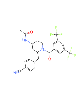 CC(=O)NC1CCN(C(=O)c2cc(C(F)(F)F)cc(C(F)(F)F)c2)C(Cc2ccc(C#N)cc2)C1